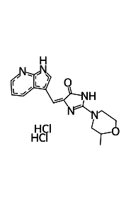 CC1CN(C2=NC(=Cc3c[nH]c4ncccc34)C(=O)N2)CCO1.Cl.Cl